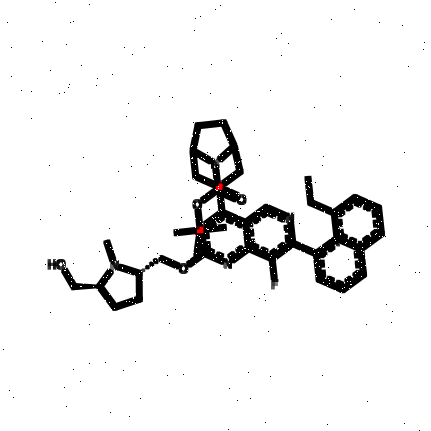 CCc1cccc2cccc(-c3ncc4c(N5CC6CCC(C5)N6C(=O)OC(C)(C)C)nc(OC[C@@H]5CC[C@@H](CO)N5C)nc4c3F)c12